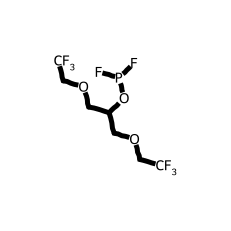 FP(F)OC(COCC(F)(F)F)COCC(F)(F)F